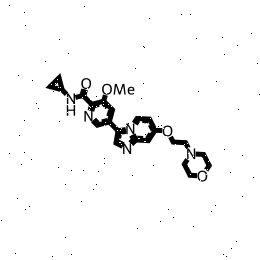 COc1cc(-c2cnc3cc(OCCN4CCOCC4)ccn23)cnc1C(=O)NC1CC1